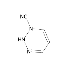 N#CN1C=CC=NN1